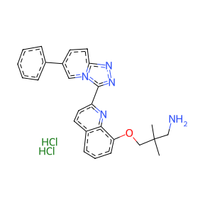 CC(C)(CN)COc1cccc2ccc(-c3nnc4ccc(-c5ccccc5)cn34)nc12.Cl.Cl